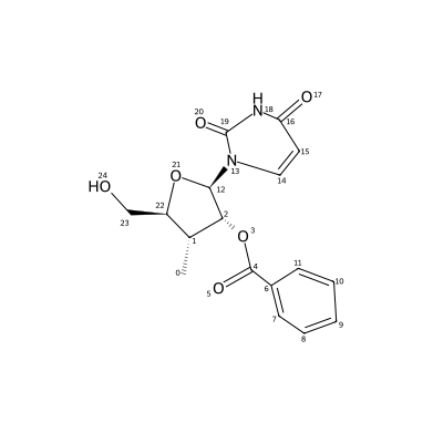 C[C@H]1[C@@H](OC(=O)c2ccccc2)[C@H](n2ccc(=O)[nH]c2=O)O[C@@H]1CO